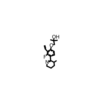 C=Cc1c(OCC(C)(C)O)ccc(C2=NCCCC2C)c1F